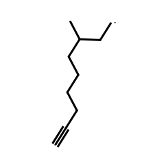 C#CCCCCC(C)C[CH2]